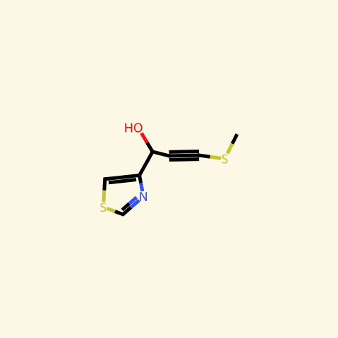 CSC#CC(O)c1cscn1